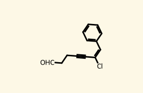 O=CCCC#C/C(Cl)=C\c1ccccc1